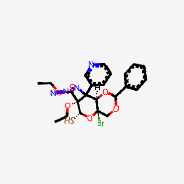 CCOC(=O)[C@]1(OCC)[C@@H](S)O[C@@]2(Br)COC(c3ccccc3)O[C@@H]2C1(N=[N+]=[N-])c1cccnc1